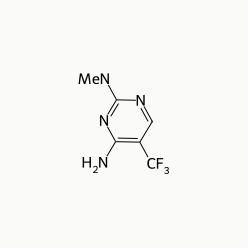 CNc1ncc(C(F)(F)F)c(N)n1